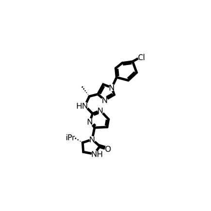 CC(C)[C@H]1CNC(=O)N1c1ccnc(N[C@H](C)c2cn(-c3ccc(Cl)cc3)cn2)n1